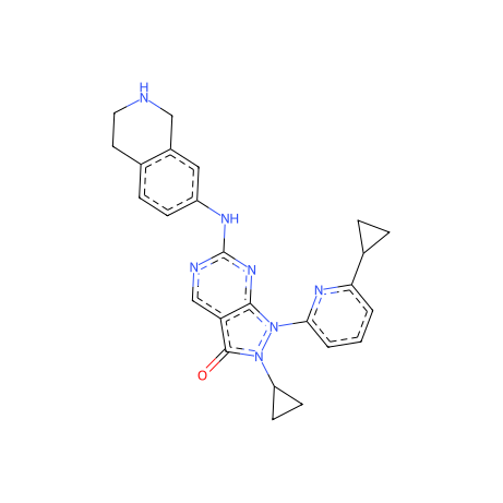 O=c1c2cnc(Nc3ccc4c(c3)CNCC4)nc2n(-c2cccc(C3CC3)n2)n1C1CC1